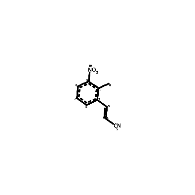 Cc1c(/C=C/C#N)cccc1[N+](=O)[O-]